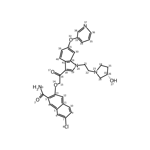 NC(=O)c1cc2cc(Cl)ccc2cc1OCC(=O)c1cn(CCN2CC[C@H](O)C2)c2cc(Oc3cccnc3)ccc12